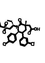 CC[C@@H](CS(=O)(=O)CC)N1C(=O)[C@](C)(CC(=O)O)CC(c2cccc(Cl)c2)[C@H]1c1ccc(Cl)cc1